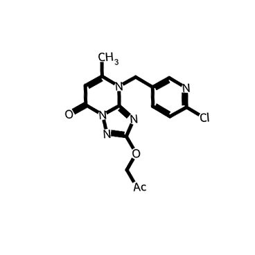 CC(=O)COc1nc2n(Cc3ccc(Cl)nc3)c(C)cc(=O)n2n1